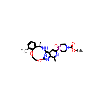 Cc1nc(P2(=O)CCN(C(=O)OC(C)(C)C)CC2)cc2c3nc(nc12)OCCOc1c(cccc1C(F)(F)F)[C@@H](C)N3